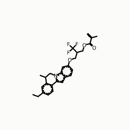 C=C(C)C(=O)OCC(COc1ccc2cc3n(c2c1)CC(C)c1cc(CC)ccc1-3)C(F)(F)F